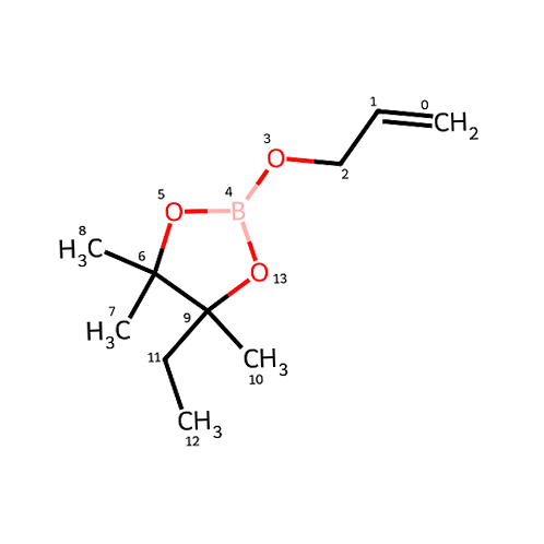 C=CCOB1OC(C)(C)C(C)(CC)O1